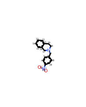 O=[N+]([O-])c1ccc(CN2CCc3ccccc3C2)cc1